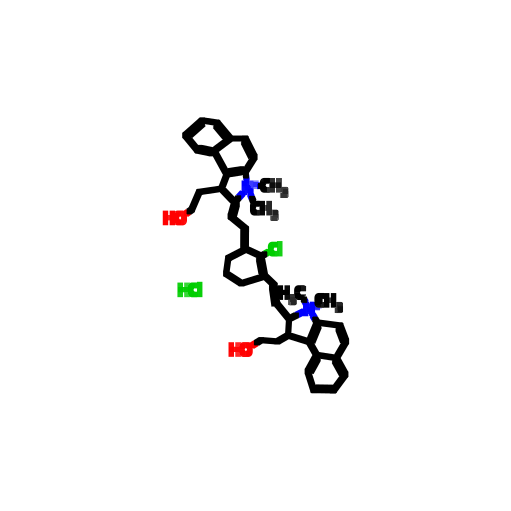 C[N+]1(C)C(=CC=C2CCCC(C=CC3C(CCO)c4c(ccc5ccccc45)[N+]3(C)C)=C2Cl)C(CCO)c2c1ccc1ccccc21.Cl